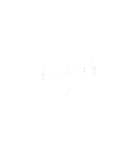 Cl.Cl.c1c[nH]c(-c2ccc(-c3[nH]c(-c4ccc(-c5ncc[nH]5)cc4)c4c3CCCC4)cc2)n1